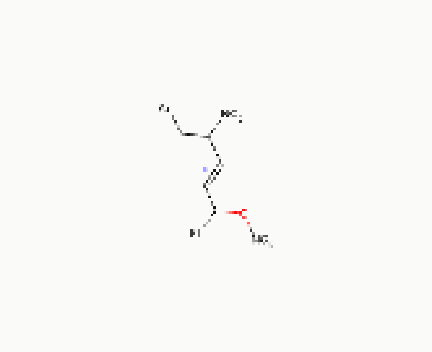 CCC(/C=C/C(CC(C)=O)[N+](=O)[O-])O[N+](=O)[O-]